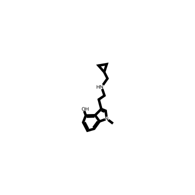 Cn1cc(CCNCC2CC2)c2c(O)cccc21